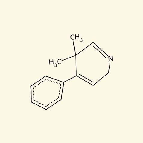 CC1(C)C=NCC=C1c1ccccc1